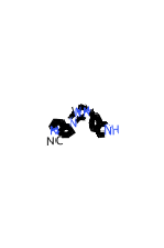 C[C@@H]1CN(c2ccc(C#N)c3ncccc23)CC2CN(Cc3ccc4c(c3)CNCC4)CCN21